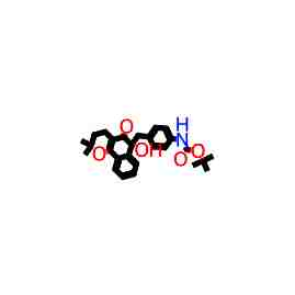 CC(C)(C)OC(=O)Nc1ccc(CC2(O)C(=O)C3=C(OC(C)(C)CC3)c3ccccc32)cc1